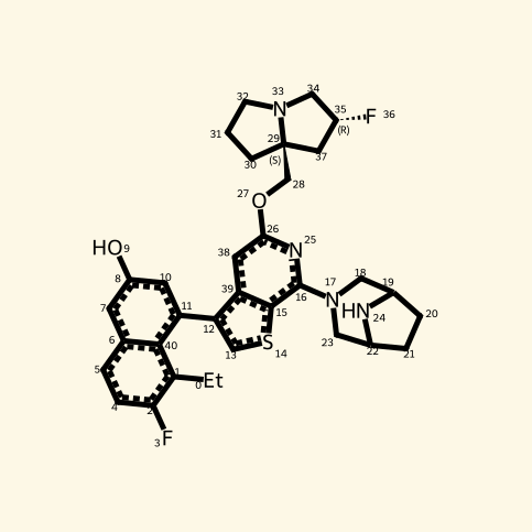 CCc1c(F)ccc2cc(O)cc(-c3csc4c(N5CC6CCC(C5)N6)nc(OC[C@@]56CCCN5C[C@H](F)C6)cc34)c12